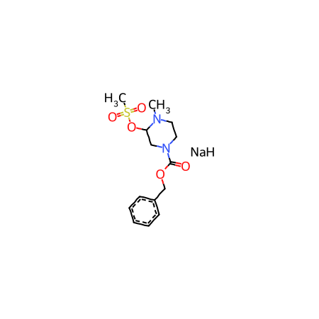 CN1CCN(C(=O)OCc2ccccc2)CC1OS(C)(=O)=O.[NaH]